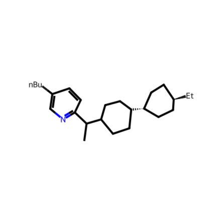 CCCCc1ccc(C(C)C2CCC([C@H]3CC[C@H](CC)CC3)CC2)nc1